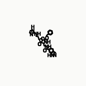 O=C(NC(CNC(=O)c1ccc2cn[nH]c2c1)C(=O)OCCCNC1=NCCN1)OCc1ccccc1